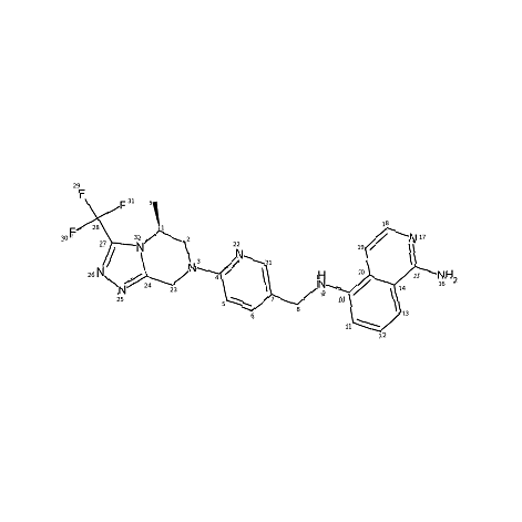 C[C@H]1CN(c2ccc(CNc3cccc4c(N)nccc34)cn2)Cc2nnc(C(F)(F)F)n21